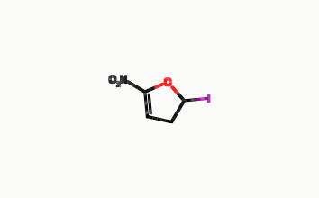 O=[N+]([O-])C1=CCC(I)O1